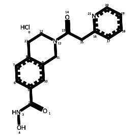 Cl.O=C(NO)c1ccc2c(c1)CN(C(=O)Cc1ccccn1)CC2